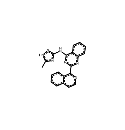 Cc1nc(Nc2nc(-c3nccc4ccccc34)nc3ccccc23)n[nH]1